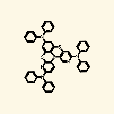 c1ccc(N(c2ccccc2)c2cc3c4c(c2)Sc2nc(N(c5ccccc5)c5ccccc5)ccc2B4c2cnc(N(c4ccccc4)c4ccccc4)cc2S3)cc1